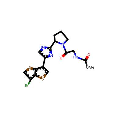 COC(=O)NCC(=O)N1CCCC1c1nc(-c2csc3c(Br)csc23)c[nH]1